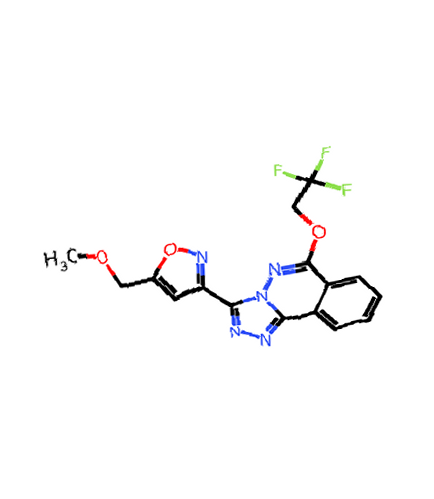 COCc1cc(-c2nnc3c4ccccc4c(OCC(F)(F)F)nn23)no1